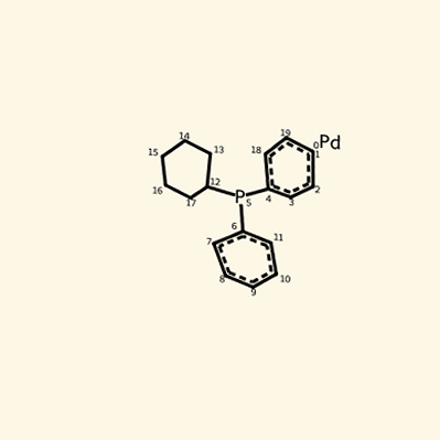 [Pd].c1ccc(P(c2ccccc2)C2CCCCC2)cc1